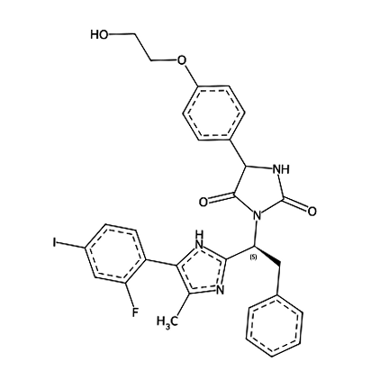 Cc1nc([C@H](Cc2ccccc2)N2C(=O)NC(c3ccc(OCCO)cc3)C2=O)[nH]c1-c1ccc(I)cc1F